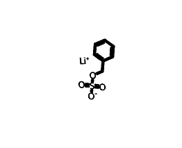 O=S(=O)([O-])OCc1ccccc1.[Li+]